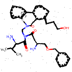 CCN(CN(C(=O)C(N)COCc1ccccc1)C(=O)[C@H](N)C(C)C)C(=O)c1c(CCCO)cccc1-c1ccccc1